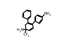 Nc1ccc(C2=C(c3ccccc3)CC(N)(C(F)(F)F)C=C2)cc1